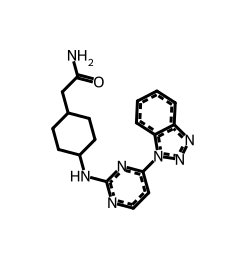 NC(=O)CC1CCC(Nc2nccc(-n3nnc4ccccc43)n2)CC1